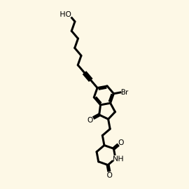 O=C1CCC(CCC2Cc3c(Br)cc(C#CCCCCCCO)cc3C2=O)C(=O)N1